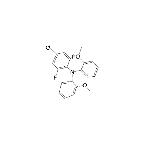 COc1ccccc1N(c1ccccc1OC)c1c(F)cc(Cl)cc1F